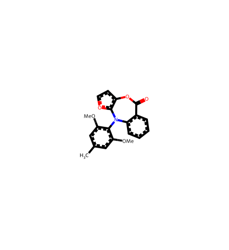 COc1cc(C)cc(OC)c1N1c2ccccc2C(=O)Oc2ccoc21